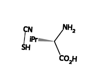 CC(C)[C@H](N)C(=O)O.N#CS